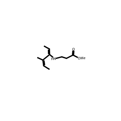 C/C=C(C)\C(=C/C)NCCC(=O)OC